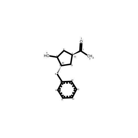 CC(=O)[C@@H]1CC(O)[C@@H](Cc2ccccc2)C1